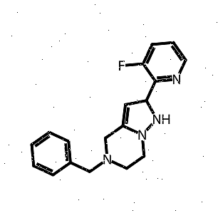 Fc1cccnc1C1C=C2CN(Cc3ccccc3)CCN2N1